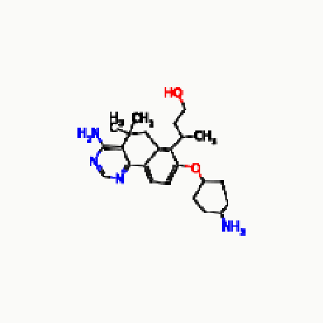 CC(CCO)c1c(OC2CCC(N)CC2)ccc2c1CC(C)(C)c1c(N)ncnc1-2